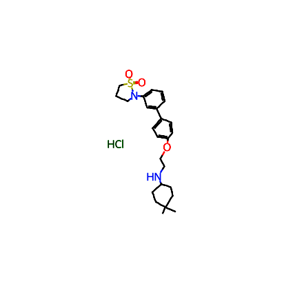 CC1(C)CCC(NCCOc2ccc(-c3cccc(N4CCCS4(=O)=O)c3)cc2)CC1.Cl